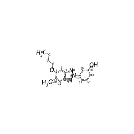 CCCCOc1cc2nn(-c3cccc(O)c3)nc2cc1C